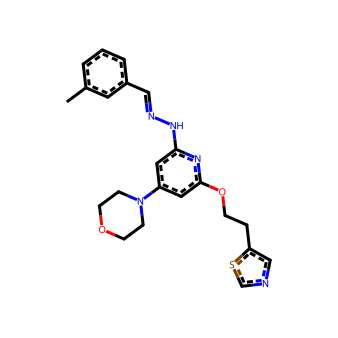 Cc1cccc(C=NNc2cc(N3CCOCC3)cc(OCCc3cncs3)n2)c1